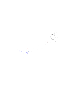 C[N+](C)(C)C[C@@H](CC(=O)[O-])NC(=O)CCCCCCCOCc1ccc(F)c(F)c1F